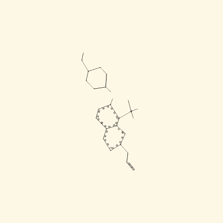 CCC1CCC(Oc2ccc3ccc(CC=O)cc3c2C(F)(F)F)CC1